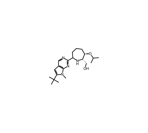 CC(C)O[C@@H]1CCCC(c2ncc3cc(C(C)(C)C)n(C)c3n2)N[C@H]1CO